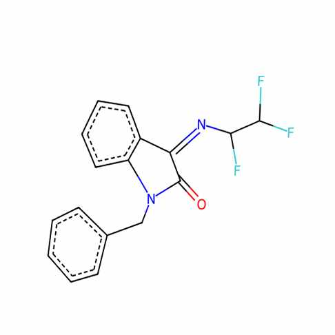 O=C1C(=NC(F)C(F)F)c2ccccc2N1Cc1ccccc1